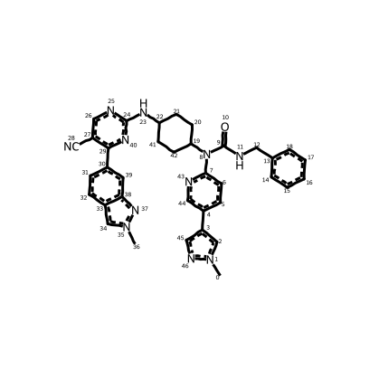 Cn1cc(-c2ccc(N(C(=O)NCc3ccccc3)C3CCC(Nc4ncc(C#N)c(-c5ccc6cn(C)nc6c5)n4)CC3)nc2)cn1